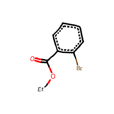 CCOC(=O)c1ccccc1Br